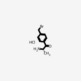 C[C@H](N)C(=O)c1ccc(CBr)cc1.Cl